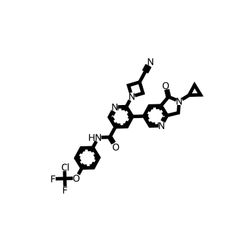 N#CC1CN(c2ncc(C(=O)Nc3ccc(OC(F)(F)Cl)cc3)cc2-c2cnc3c(c2)C(=O)N(C2CC2)C3)C1